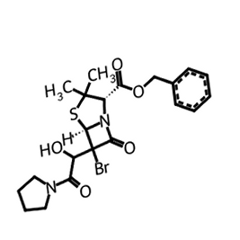 CC1(C)S[C@H]2N(C(=O)C2(Br)C(O)C(=O)N2CCCC2)[C@H]1C(=O)OCc1ccccc1